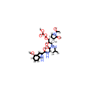 COC(=O)OOCC(=O)[C@H](C[C@@H]1CCN(C(C)=O)C1=O)NC(=O)[C@H](CC(C)C)NC(=O)c1cc2c(OC)cccc2[nH]1